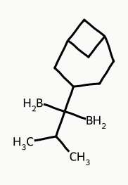 BC(B)(C(C)C)C1CCC2CC(C2)C1